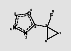 FC1(c2nn[c]o2)CC1